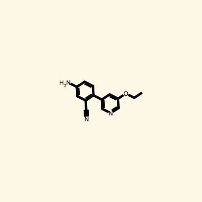 CCOc1cncc(-c2ccc(N)cc2C#N)c1